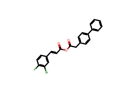 O=C(/C=C/c1ccc(F)c(Br)c1)OC(=O)Cc1ccc(-c2ccccc2)cc1